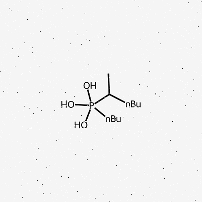 CCCCC(C)P(O)(O)(O)CCCC